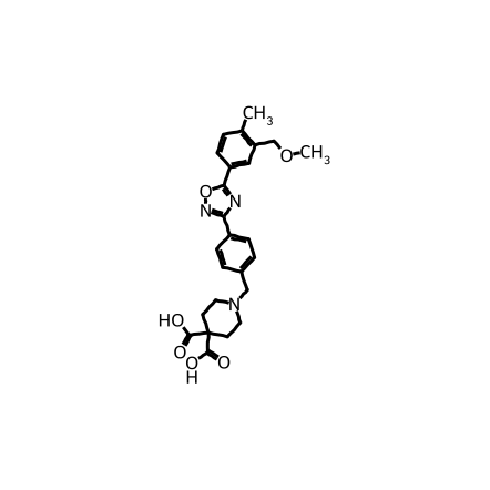 COCc1cc(-c2nc(-c3ccc(CN4CCC(C(=O)O)(C(=O)O)CC4)cc3)no2)ccc1C